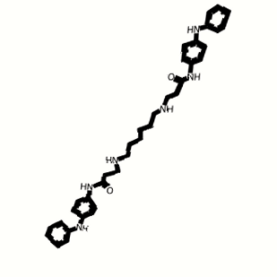 O=C(CCNCCCCCCNCCC(=O)Nc1ccc(Nc2ccccc2)cc1)Nc1ccc(Nc2ccccc2)cc1